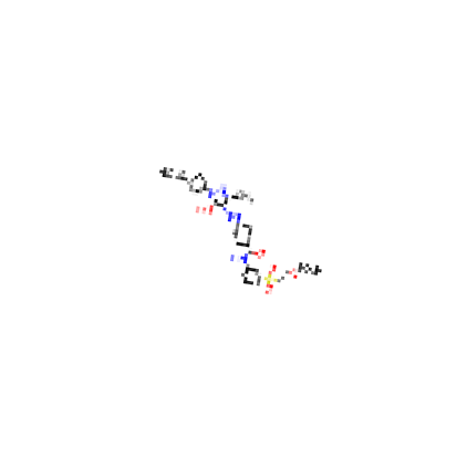 Cc1nn(-c2ccc(S(=O)(=O)O)cc2)c(O)c1/N=N/c1ccc(C(=O)Nc2cccc(S(=O)(=O)CCOS(=O)(=O)O)c2)cc1